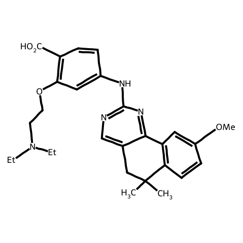 CCN(CC)CCOc1cc(Nc2ncc3c(n2)-c2cc(OC)ccc2C(C)(C)C3)ccc1C(=O)O